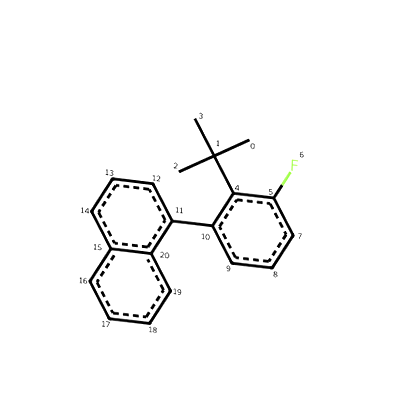 CC(C)(C)c1c(F)cccc1-c1cccc2ccccc12